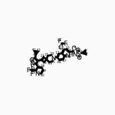 O=C(NS(=O)(=O)C1CC1)c1cc(OC(F)F)c2cc(N3CCC4(C=C(c5c(-c6cccnc6C(F)(F)F)noc5C5CC5)C4)CC3)ccc2n1